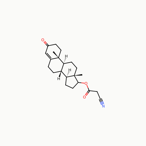 C[C@]12CCC(=O)C=C1CC[C@@H]1[C@@H]2CC[C@]2(C)C(OC(=O)CC#N)CC[C@@H]12